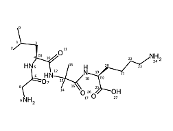 CC(C)C[C@H](NC(=O)CN)C(=O)NC(C)(C)C(=O)N[C@@H](CCCCN)C(=O)O